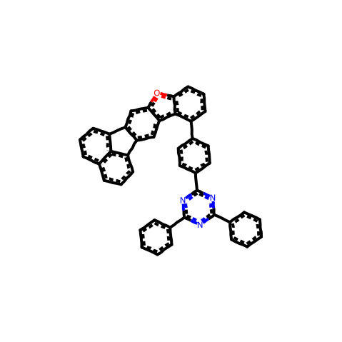 c1ccc(-c2nc(-c3ccccc3)nc(-c3ccc(-c4cccc5oc6cc7c(cc6c45)-c4cccc5cccc-7c45)cc3)n2)cc1